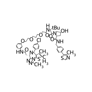 Cc1ncsc1-c1ccc(CNC(=O)C2C[C@@H](O)CN2C(=O)C(NC(=O)COCCCOCCOc2cccc(NC(=O)C[C@@H]3N=C(c4ccc(Cl)cc4)c4c(sc(C)c4C)-n4c(C)nnc43)c2)C(C)(C)C)cc1